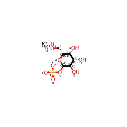 O=P([O-])([O-])O[C@H]1O[C@H](CO)[C@H](O)[C@H](O)[C@H]1O.[K+].[K+]